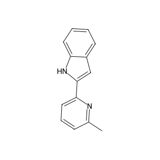 Cc1cccc(-c2cc3ccccc3[nH]2)n1